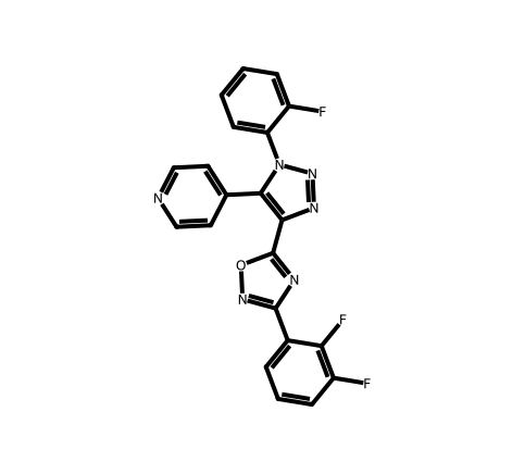 Fc1ccccc1-n1nnc(-c2nc(-c3cccc(F)c3F)no2)c1-c1ccncc1